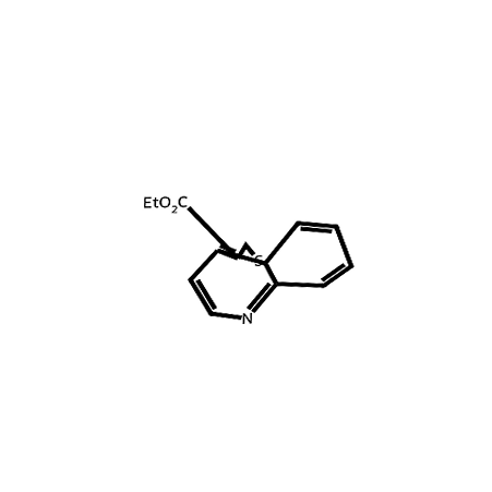 CCOC(=O)C1=C2C=CN=C3C=CC=CC32SC1